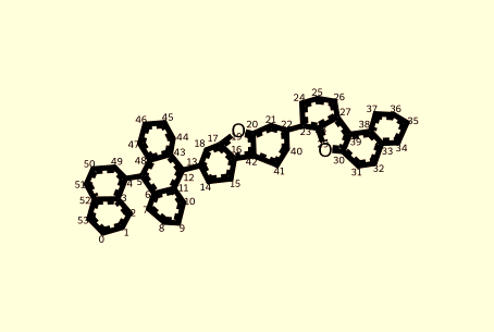 c1ccc2c(-c3c4ccccc4c(-c4ccc5c(c4)oc4cc(-c6cccc7c6oc6ccc8ccccc8c67)ccc45)c4ccccc34)cccc2c1